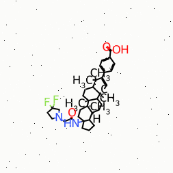 CC1(C)C(c2ccc(C(=O)O)cc2)=CC[C@@]2(C)C1CC[C@]1(C)C2CC[C@@H]2C3CCC[C@]3(NC(=O)CN3CCC(F)(F)C3)CC[C@]21C